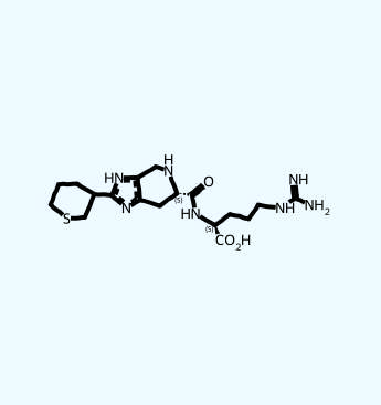 N=C(N)NCCC[C@H](NC(=O)[C@@H]1Cc2nc(C3CCCSC3)[nH]c2CN1)C(=O)O